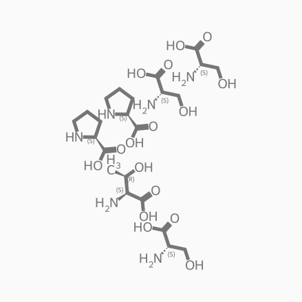 C[C@@H](O)[C@H](N)C(=O)O.N[C@@H](CO)C(=O)O.N[C@@H](CO)C(=O)O.N[C@@H](CO)C(=O)O.O=C(O)[C@@H]1CCCN1.O=C(O)[C@@H]1CCCN1